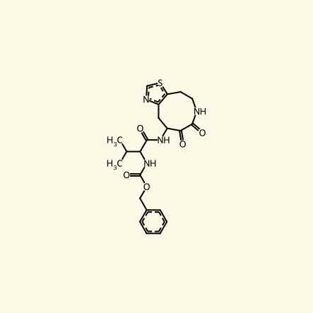 CC(C)C(NC(=O)OCc1ccccc1)C(=O)NC1Cc2ncsc2CCNC(=O)C1=O